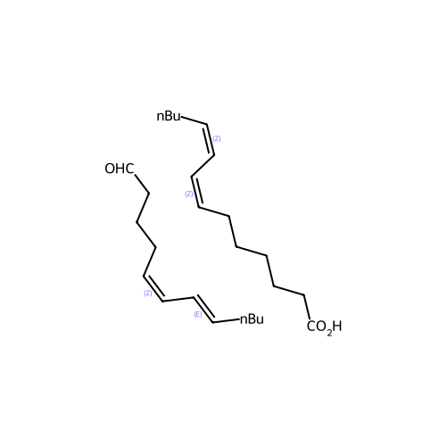 CCCC/C=C/C=C\CCCC=O.CCCC/C=C\C=C/CCCCCC(=O)O